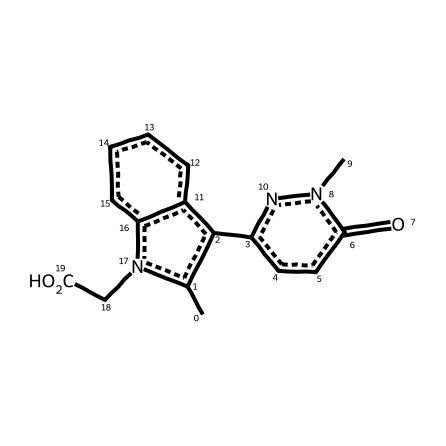 Cc1c(-c2ccc(=O)n(C)n2)c2ccccc2n1CC(=O)O